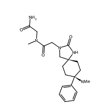 CN[C@]1(c2ccccc2)CC[C@@]2(CC1)CN(CC(=O)N(C)CC(N)=O)C(=O)N2